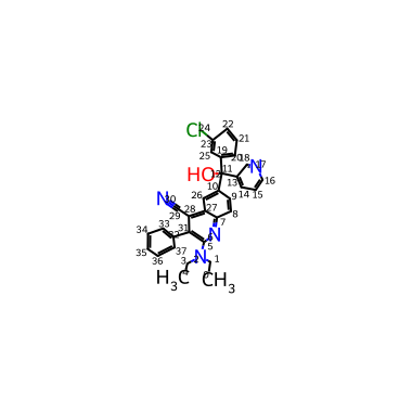 CCN(CC)c1nc2ccc(C(O)(c3cccnc3)c3cccc(Cl)c3)cc2c(C#N)c1-c1ccccc1